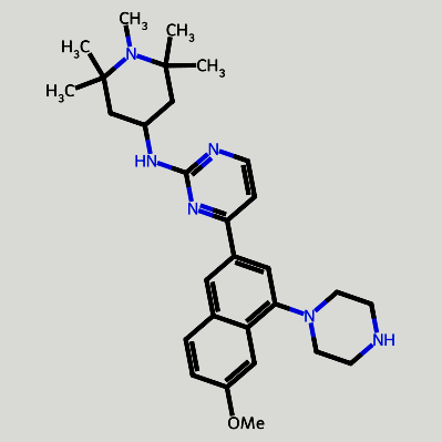 COc1ccc2cc(-c3ccnc(NC4CC(C)(C)N(C)C(C)(C)C4)n3)cc(N3CCNCC3)c2c1